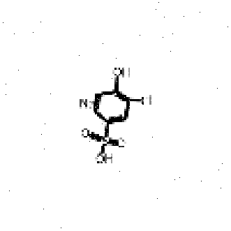 O=S(=O)(O)c1ccc(O)c(Cl)c1.[Na]